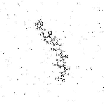 CCC(=O)N1CC(Nc2cc(C(=O)NC[C@H](O)CN3CCc4c(ccc(OCc5cnco5)c4Cl)C3)ccn2)C1